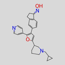 O/N=C1\CCc2cc(-c3cc(C4CCCN(CC5CC5)C4)oc3-c3ccncc3)ccc21